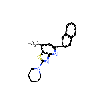 O=C(O)c1cc(-c2ccc3ccccc3c2)nc2nc(N3CCCCC3)sc12